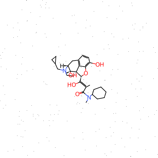 C/C(C(=O)N(C)C1CCCCC1)=C(/O)[C@@H]1Oc2c(O)ccc3c2[C@@]12CCN(CC1CC1)[C@H](C3)[C@@]2(C)O